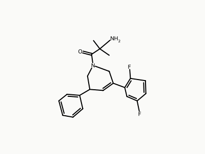 CC(C)(N)C(=O)N1CC(c2cc(F)ccc2F)=CC(c2ccccc2)C1